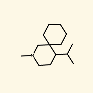 CC(C)C1CCN(C)CC12CCCCC2